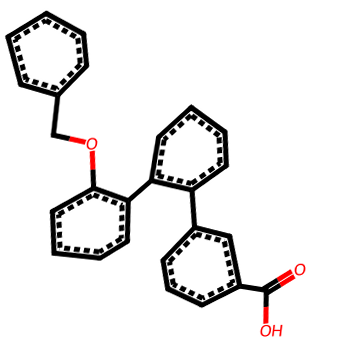 O=C(O)c1cccc(-c2ccccc2-c2ccccc2OCc2ccccc2)c1